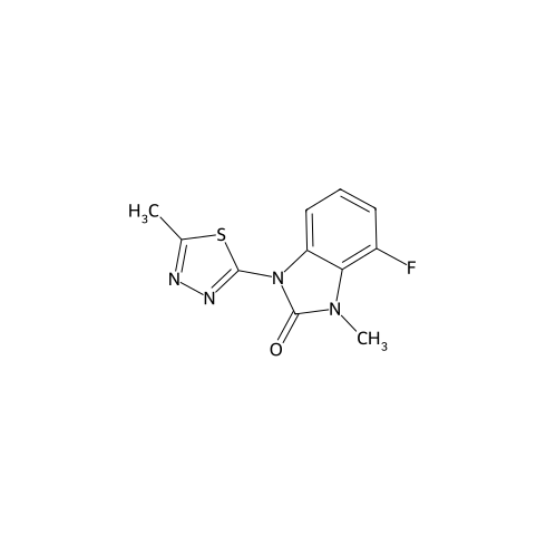 Cc1nnc(-n2c(=O)n(C)c3c(F)cccc32)s1